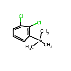 C[Si](C)(C)c1[c]ccc(Cl)c1Cl